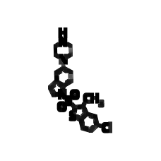 Cc1c(S(=O)(=O)n2ccc3cc(N4CCNCC4)ccc32)sc2ccc(Cl)cc12